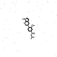 COc1cc(NCC(C)C)ccc1-c1cnc2[nH]ccc2c1